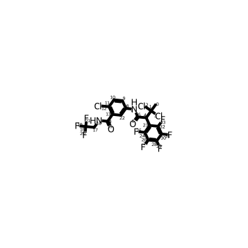 CC(Cl)(Cl)C(C(=O)Nc1ccc(Cl)c(C(=O)NCC(F)(F)F)c1)c1c(F)c(F)c(F)c(F)c1F